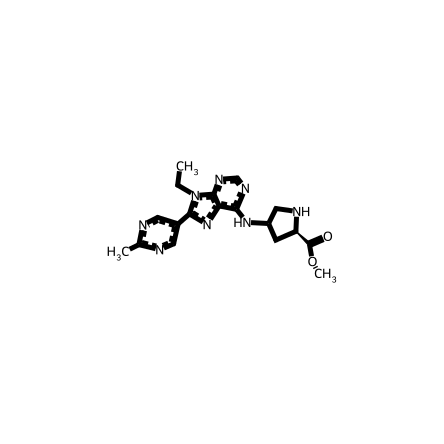 CCn1c(-c2cnc(C)nc2)nc2c(NC3CN[C@@H](C(=O)OC)C3)ncnc21